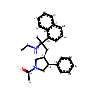 CCNC(C)(C[C@@H]1CN(C(C)=O)C[C@@H]1c1ccccc1)c1cccc2ccccc12